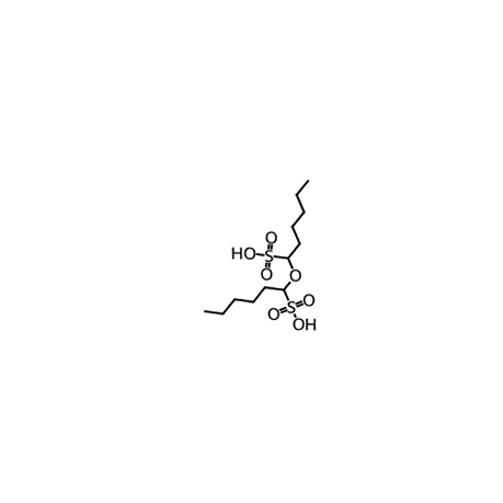 CCCCCC(OC(CCCCC)S(=O)(=O)O)S(=O)(=O)O